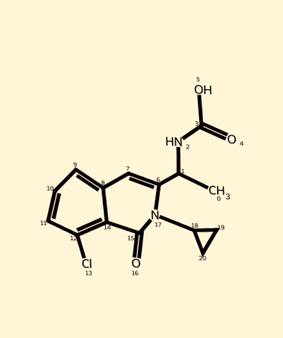 CC(NC(=O)O)c1cc2cccc(Cl)c2c(=O)n1C1CC1